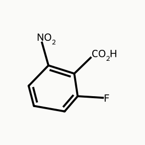 O=C(O)c1c(F)cccc1[N+](=O)[O-]